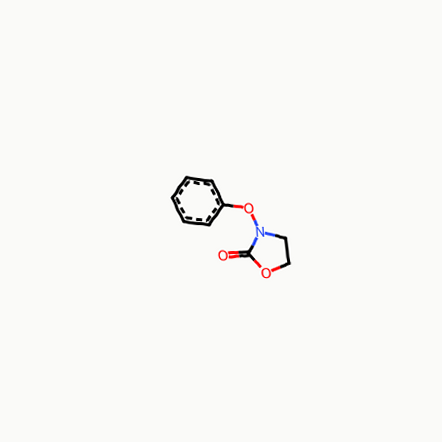 O=C1OCCN1Oc1ccccc1